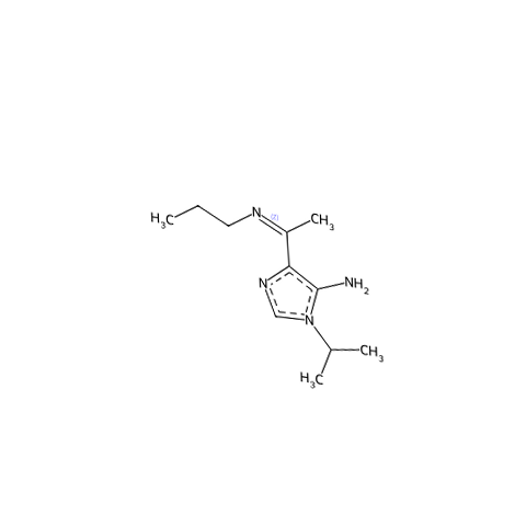 CCC/N=C(/C)c1ncn(C(C)C)c1N